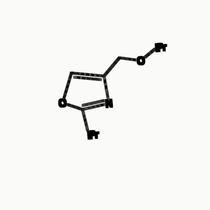 CC(C)OCc1coc(C(C)C)n1